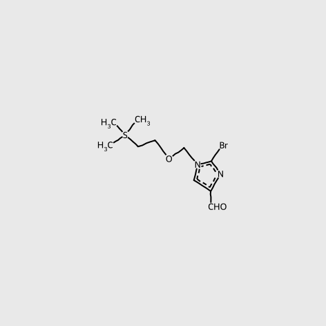 CS(C)(C)CCOCn1cc(C=O)nc1Br